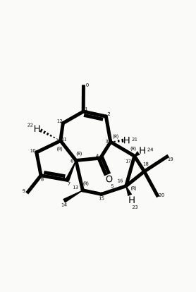 CC1=C[C@@H]2C(=O)[C@]3(C=C(C)C[C@H]3C1)[C@H](C)C[C@@H]1[C@H]2C1(C)C